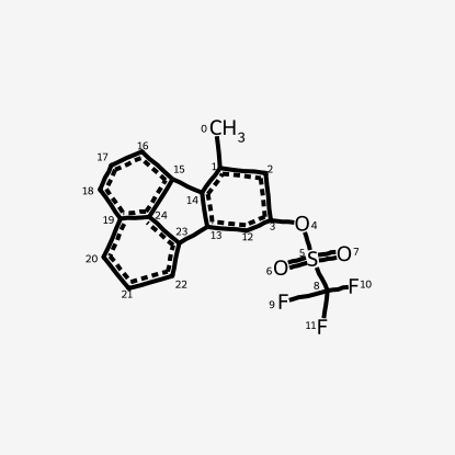 Cc1cc(OS(=O)(=O)C(F)(F)F)cc2c1-c1cccc3cccc-2c13